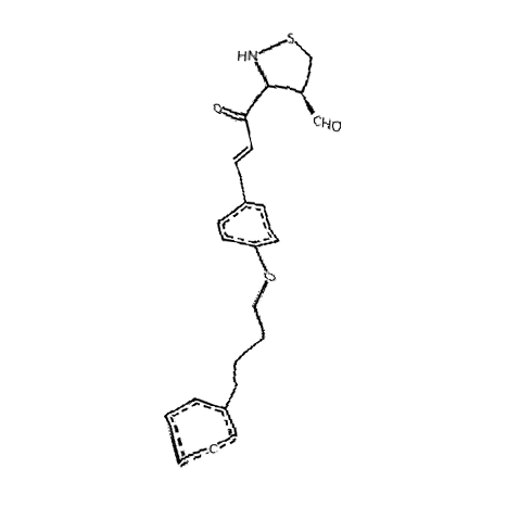 O=C[C@@H]1CSNC1C(=O)C=Cc1ccc(OCCCCc2ccccc2)cc1